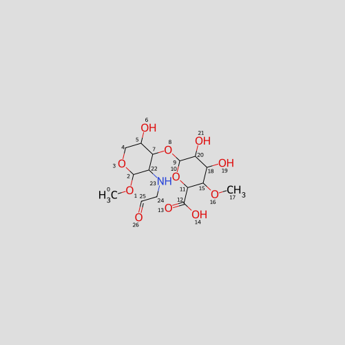 COC1OCC(O)C(OC2OC(C(=O)O)C(OC)C(O)C2O)C1NCC=O